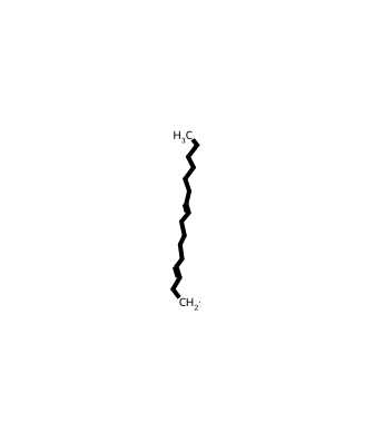 [CH2]CC=CCCCCC=CCCCCCC